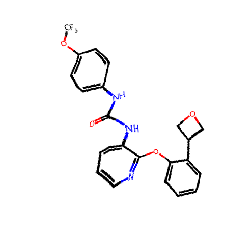 O=C(Nc1ccc(OC(F)(F)F)cc1)Nc1cccnc1Oc1ccccc1C1COC1